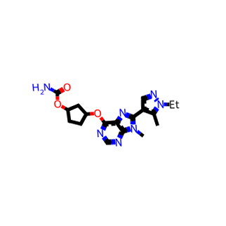 CCn1ncc(-c2nc3c(OC4CCC(OC(N)=O)C4)ncnc3n2C)c1C